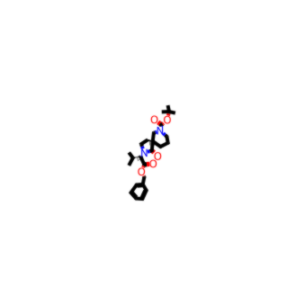 CC(C)[C@@H](C(=O)OCc1ccccc1)N1CC[C@@]2(CCCN(C(=O)OC(C)(C)C)C2)C1=O